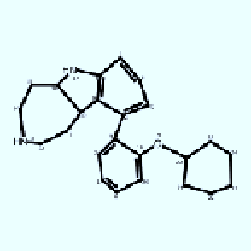 c1ccc(-c2cccc3c2C2CCNCCC2N3)c(OC2CCCCC2)c1